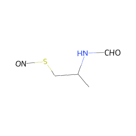 CC(CSN=O)NC=O